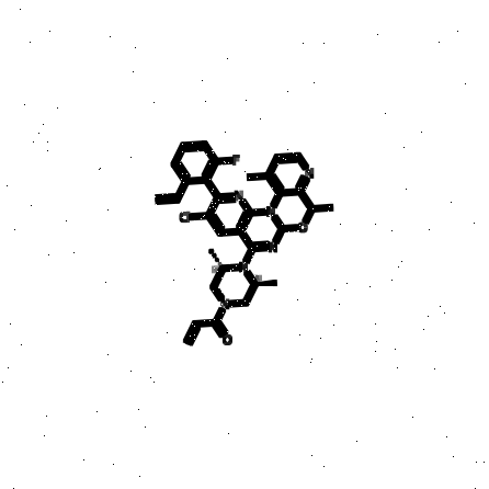 C=CC(=O)N1C[C@H](C)N(C2=NC3OC(C)c4nccc(C)c4N3c3nc(-c4c(F)cccc4C=C)c(Cl)cc32)[C@@H](C)C1